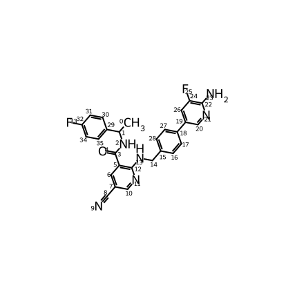 CC(NC(=O)c1cc(C#N)cnc1NCc1ccc(-c2cnc(N)c(F)c2)cc1)c1ccc(F)cc1